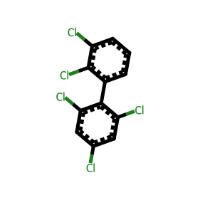 Clc1cc(Cl)c(-c2cccc(Cl)c2Cl)c(Cl)c1